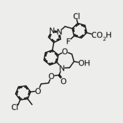 Cc1c(Cl)cccc1OCCOC(=O)N1CC(O)COc2c(-c3cnn(Cc4c(F)cc(C(=O)O)cc4Cl)c3)cccc21